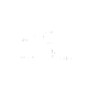 CCCCC(=O)OC1C(CC(C)(C)[Si](C)(C)O)[C@H](N/C=C\C=O)O[C@@H]1CO